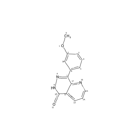 COc1cccc(-c2n[nH]c(=O)c3cccnc23)c1